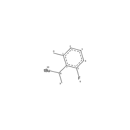 Cc1cccc(F)c1C(C)C(C)(C)C